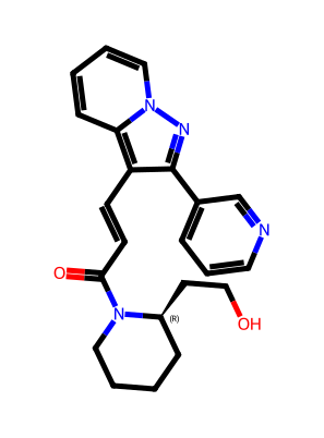 O=C(C=Cc1c(-c2cccnc2)nn2ccccc12)N1CCCC[C@@H]1CCO